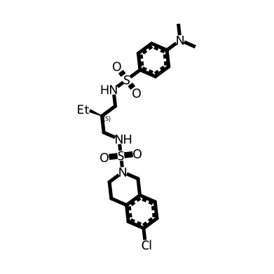 CC[C@@H](CNS(=O)(=O)c1ccc(N(C)C)cc1)CNS(=O)(=O)N1CCc2cc(Cl)ccc2C1